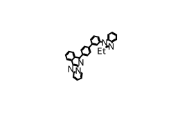 CCc1nc2ccccc2n1-c1cccc(-c2ccc(-c3nc4c(nc5ccccn54)c4ccccc34)cc2)c1